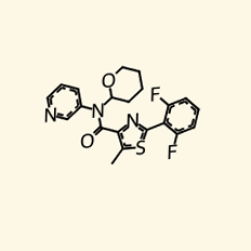 Cc1sc(-c2c(F)cccc2F)nc1C(=O)N(c1cccnc1)C1CCCCO1